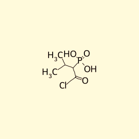 CC(C)C(C(=O)Cl)P(=O)(O)O